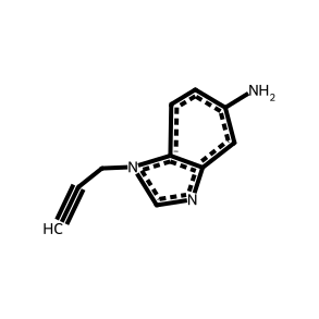 C#CCn1cnc2cc(N)ccc21